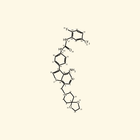 Nc1ncc(CN2CCC3(CC2)OCCO3)c2scc(-c3ccc(NC(=O)Nc4cc(C(F)(F)F)ccc4F)cc3)c12